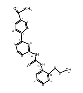 CC(=O)c1ccc(-c2cccc(NC(=O)Nc3ccccc3CCO)c2)cc1